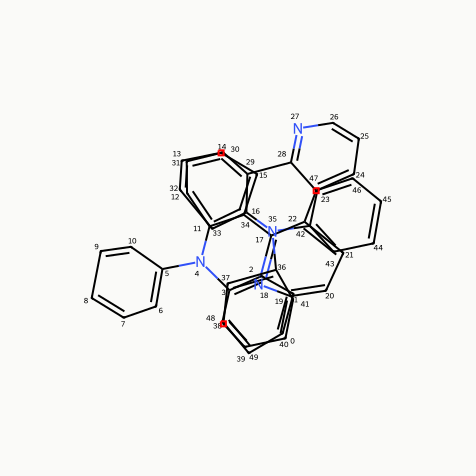 c1ccc(N(c2ccccc2)c2ccccc2-c2ncccc2-c2cccnc2-c2ccccc2N(c2ccccc2)c2ccccc2)cc1